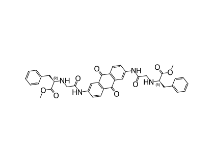 COC(=O)[C@@H](Cc1ccccc1)NCC(=O)Nc1ccc2c(c1)C(=O)c1ccc(NC(=O)CN[C@H](Cc3ccccc3)C(=O)OC)cc1C2=O